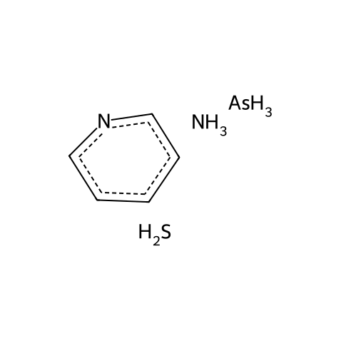 N.S.[AsH3].c1ccncc1